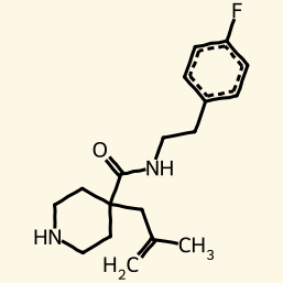 C=C(C)CC1(C(=O)NCCc2ccc(F)cc2)CCNCC1